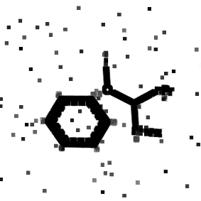 CCCCCCC(CCC)OI.c1ccccc1